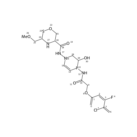 C=C(/C=C(/F)C(=C)Cl)OCC(=O)NP1C=CN(NC(=O)C2COSC(COC)N2)CC1O